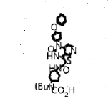 CC(C)(C)N(C(=O)O)C1CCC(NC(=O)c2sc3nccc4c3c2NC(=O)N4c2ccc(Oc3ccccc3)cc2)CC1